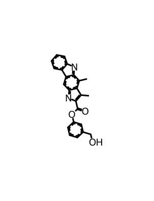 CC1=C(C(=O)Oc2cccc(CO)c2)N=c2cc3c(c(C)c21)=Nc1ccccc1-3